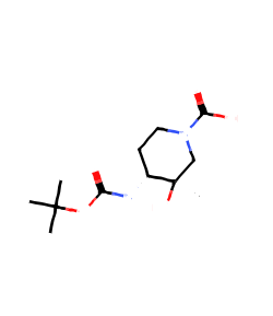 CC(C)(C)OC(=O)N[C@@H]1CCN(C(=O)O)C[C@@]1(C)O